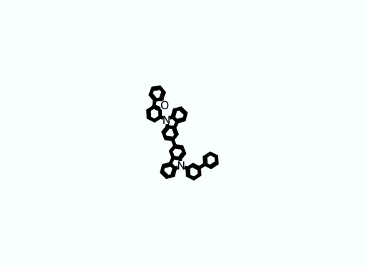 C1=CC(C2=CC(N3C4=CC=C(c5ccc6c(c5)c5ccccc5n6C5CC=Cc6c5oc5ccccc65)CC4c4ccccc43)=CCC2)=CCC1